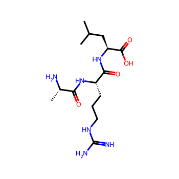 CC(C)C[C@H](NC(=O)[C@H](CCCNC(=N)N)NC(=O)[C@H](C)N)C(=O)O